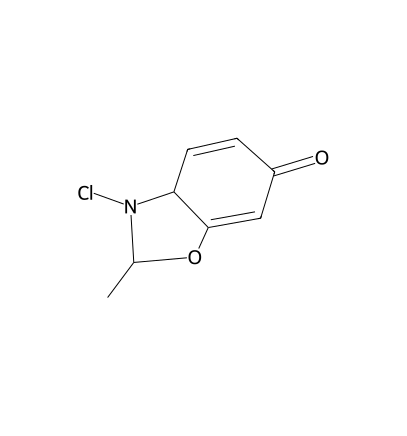 CC1OC2=CC(=O)C=CC2N1Cl